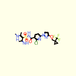 CN/C(C)=C(\C(C)=N)S(=O)(=O)NC(=O)c1ccc(-n2ccc(OCC3(C(F)(F)F)CC3)n2)nc1Cl